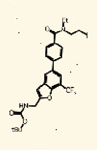 CCN(CCI)C(=O)c1ccc(-c2cc(C(F)(F)F)c3oc(CNC(=O)OC(C)(C)C)cc3c2)cc1